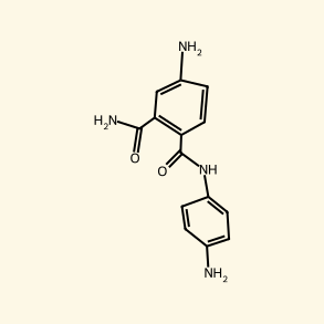 NC(=O)c1cc(N)ccc1C(=O)Nc1ccc(N)cc1